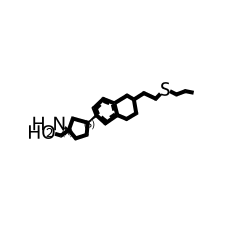 CCCSCCC1CCc2cc([C@H]3CC[C@](N)(CO)C3)ccc2C1